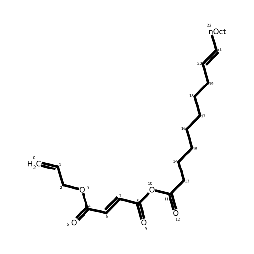 C=CCOC(=O)C=CC(=O)OC(=O)CCCCCCCC=CCCCCCCCC